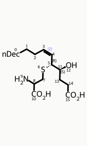 CCCCCCCCCCCC/C=C\[C@@H](SCC(N)C(=O)O)[C@@H](O)CCC(=O)O